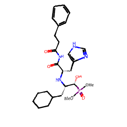 COP(=O)(OC)[C@@H](O)[C@H](CC1CCCCC1)N[C@@H](Cc1c[nH]cn1)C(=O)NC(=O)CCc1ccccc1